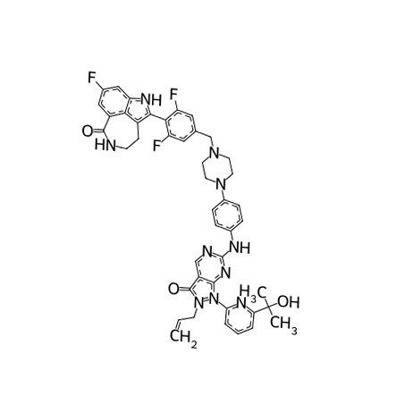 C=CCn1c(=O)c2cnc(Nc3ccc(N4CCN(Cc5cc(F)c(-c6[nH]c7cc(F)cc8c7c6CCNC8=O)c(F)c5)CC4)cc3)nc2n1-c1cccc(C(C)(C)O)n1